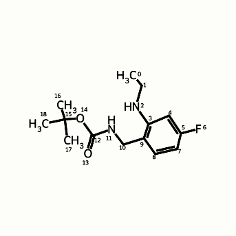 CCNc1cc(F)ccc1CNC(=O)OC(C)(C)C